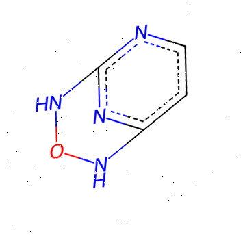 c1cc2nc(n1)NON2